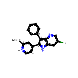 CC(=O)Nc1cc(-c2[nH]c3cc(F)cnc3c2-c2ccccc2)ccn1